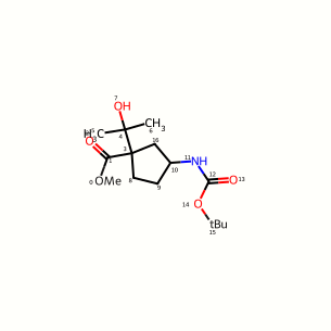 COC(=O)C1(C(C)(C)O)CCC(NC(=O)OC(C)(C)C)C1